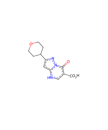 O=C(O)c1c[nH]c2cc(C3CCOCC3)nn2c1=O